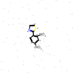 O=[N+]([O-])c1ccc(-c2nccs2)c([N+](=O)[O-])c1